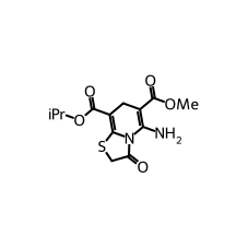 COC(=O)C1=C(N)N2C(=O)CSC2=C(C(=O)OC(C)C)C1